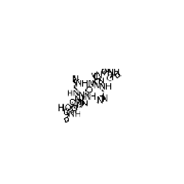 Cn1cnc(CCNc2nc(N[C@H]3CC[C@H](Nc4nc(NCCc5cn(C)cn5)nc5c4ncn5[C@@H]4C[C@H](NC(=O)C5CCC5)[C@@H](O)[C@H]4O)CC3)c3ncn([C@H]4CC[C@@H](NC(=O)C5CCC5)C4)c3n2)c1